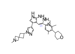 Cc1cc(/C(N)=C/c2c(-c3cnn(C4CC5(C4)CN(C)C5)c3)c[nH]c2N)nc(C)c1C1CCOCC1